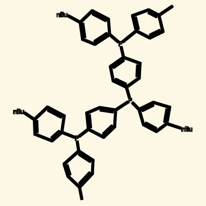 CCCCc1ccc(P(c2ccc(C)cc2)c2ccc(P(c3ccc(CCCC)cc3)c3ccc(P(c4ccc(C)cc4)c4ccc(CCCC)cc4)cc3)cc2)cc1